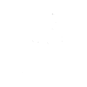 CC1(Nc2c(N3C[C@H](CCCB(O)O)[C@@](C)(N)C3)c(=O)c2=O)CNC1